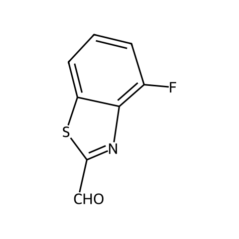 O=Cc1nc2c(F)cccc2s1